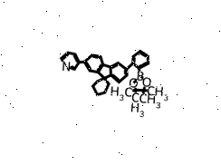 CC1(C)OB(c2ccccc2-c2ccc3c(c2)-c2ccc(-c4cccnc4)cc2C32CCCCC2)OC1(C)C